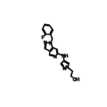 OCCn1cc(Nc2cc3c(cn2)cnn3Cc2ccccc2F)cn1